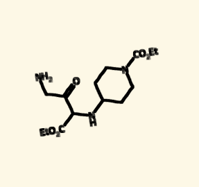 CCOC(=O)C(NC1CCN(C(=O)OCC)CC1)C(=O)CN